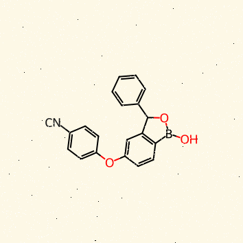 [C-]#[N+]c1ccc(Oc2ccc3c(c2)C(c2ccccc2)OB3O)cc1